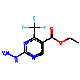 CCOC(=O)c1cnc(NN)nc1C(F)(F)F